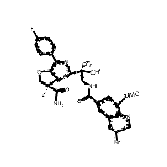 COc1cc(C(=O)NC[C@](O)(c2cc3c(c(-c4ccc(F)cc4)n2)OC[C@]3(C)C(N)=O)C(F)(F)F)cc2cc(Br)cnc12